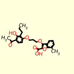 CCCc1c(OCCCOc2c(C(=O)O)oc3c(C)cccc23)ccc(C(C)=O)c1O